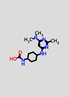 Cc1nc(NC2CCC(NC(=O)O)CC2)cc(N(C)C)n1